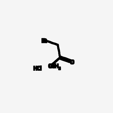 CCC[C](=O)[GeH3].Cl